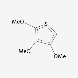 COc1csc(OC)c1OC